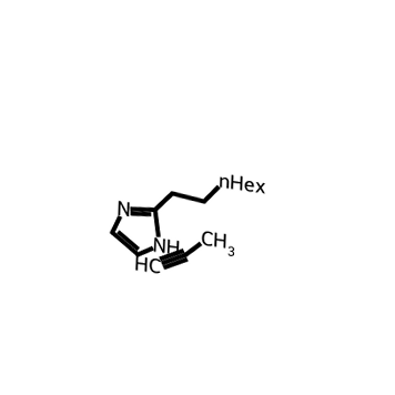 C#CC.CCCCCCCCc1ncc[nH]1